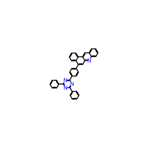 c1ccc(-c2nc(-c3ccccc3)nc(-c3ccc(-c4cc5nc6ccccc6cc5c5ccccc45)cc3)n2)cc1